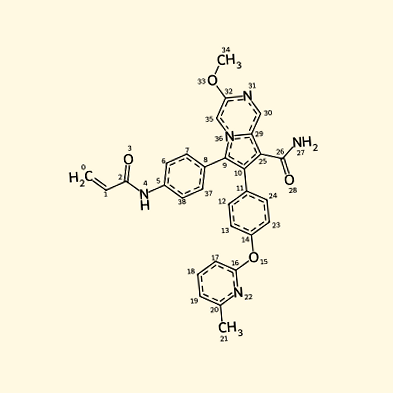 C=CC(=O)Nc1ccc(-c2c(-c3ccc(Oc4cccc(C)n4)cc3)c(C(N)=O)c3cnc(OC)cn23)cc1